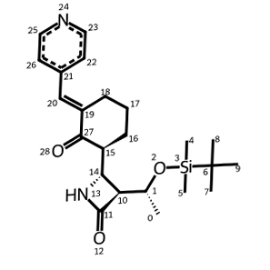 C[C@@H](O[Si](C)(C)C(C)(C)C)[C@H]1C(=O)N[C@@H]1[C@@H]1CCCC(=Cc2ccncc2)C1=O